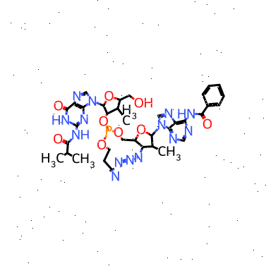 CC(C)C(=O)Nc1nc2c(ncn2C2OC(CO)C(C)C2OP(OCCC#N)OCC2OC(n3cnc4c(NC(=O)c5ccccc5)ncnc43)C(C)C2N=[N+]=[N-])c(=O)[nH]1